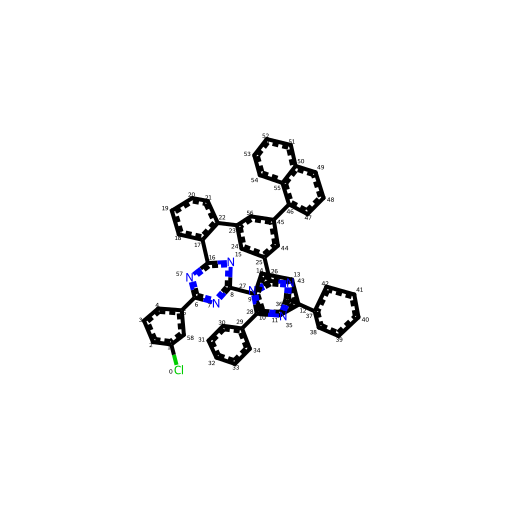 Clc1cccc(-c2nc(-c3ccccc3)nc(-c3ccccc3-c3cc(-c4nc(-c5ccccc5)nc(-c5ccccc5)n4)cc(-c4cccc5ccccc45)c3)n2)c1